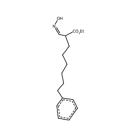 CCOC(=O)C(/C=N\O)CCCCCCc1ccccc1